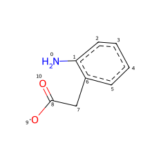 Nc1ccccc1CC([O])=O